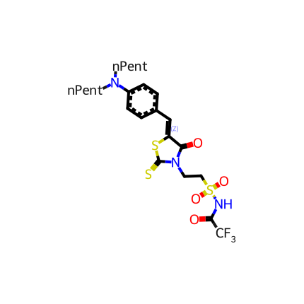 CCCCCN(CCCCC)c1ccc(/C=C2\SC(=S)N(CCS(=O)(=O)NC(=O)C(F)(F)F)C2=O)cc1